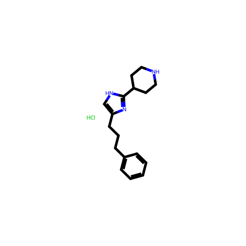 Cl.c1ccc(CCCc2c[nH]c(C3CCNCC3)n2)cc1